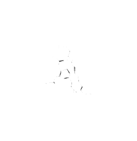 CC(C)(C)C(=O)Oc1ccc(CCN)cc1OC(=O)C(C)(C)C.CCCCCCCCC=CCCCCCCCCO.Cl